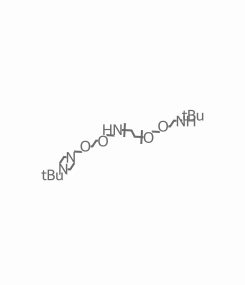 CC(C)(C)NCCOCCOC(C)(C)CCC(C)(C)NCCOCCOCCN1CCN(C(C)(C)C)CC1